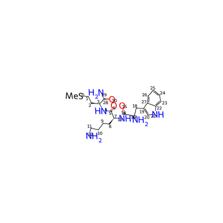 CSCC[C@H](NC(=O)[C@H](CCCCN)NC(=O)[C@@H](N)Cc1c[nH]c2ccccc12)C(N)=O